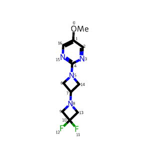 COc1cnc(N2CC(N3CC(F)(F)C3)C2)nc1